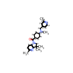 Cc1ccc2c(n1)C(C)(C)CN2C(=O)C1CCC(N(C)Cc2ccnc(C(F)(F)F)c2)CC1